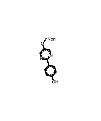 CCCCCCCCCOc1cnc(-c2ccc(O)cc2)nc1